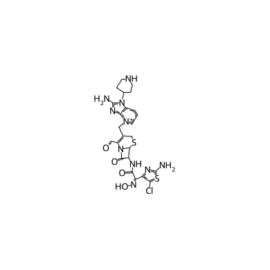 Nc1nc(/C(=N/O)C(=O)NC2C(=O)N3C(C=O)=C(C[n+]4cccc5c4nc(N)n5C4CCNCC4)CSC23)c(Cl)s1